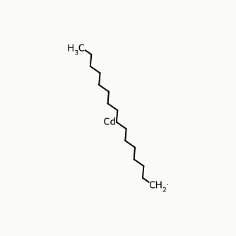 [CH2]CCCCCCCCCCCCCCC.[Cd]